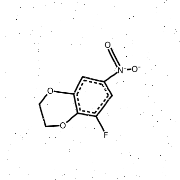 O=[N+]([O-])c1cc(F)c2c(c1)OCCO2